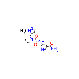 Cn1nccc1[C@@H]1CCCCN1C(=O)C(=O)Nc1cncc(C(N)=O)c1